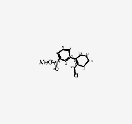 CO[N+](=O)c1cccc(C2=C(CCl)CCCC2)c1